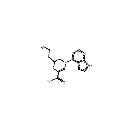 NCCC1CN(c2ncnc3[nH]ccc23)C=C(C(N)=O)S1